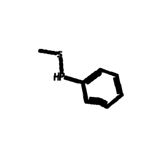 CSPc1ccccc1